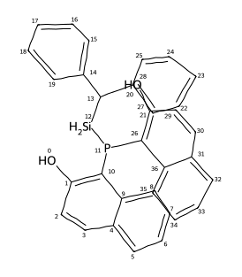 Oc1ccc2ccccc2c1P([SiH2]C(c1ccccc1)c1ccccc1)c1c(O)ccc2ccccc12